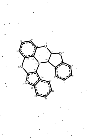 c1ccc2c(c1)OC1Oc3cccc4c3B(c3c(oc5ccccc35)O4)C21